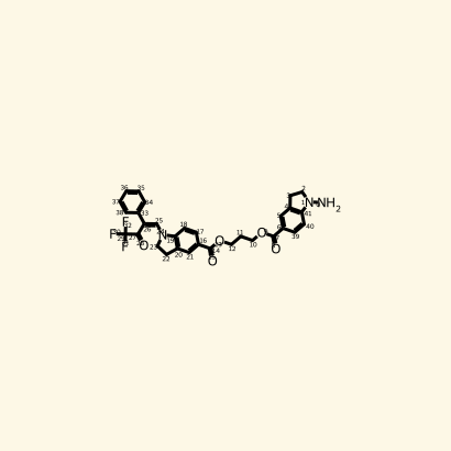 NN1CCc2cc(C(=O)OCCCOC(=O)c3ccc4c(c3)CCN4/C=C(\C(=O)C(F)(F)F)c3ccccc3)ccc21